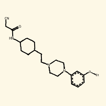 CCOc1cccc(N2CCN(CCC3CCC(NC(=O)CC#N)CC3)CC2)c1